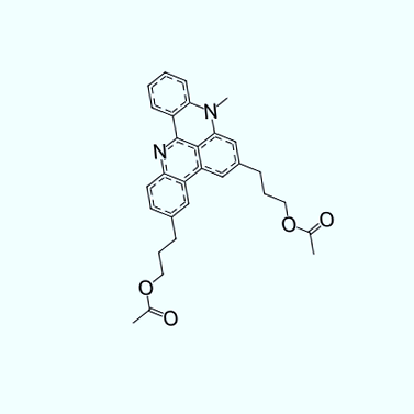 CC(=O)OCCCc1ccc2nc3c4c(cc(CCCOC(C)=O)cc4c2c1)N(C)c1ccccc1-3